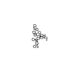 CC1(C)c2ccc(N(c3ccccc3)c3ccc4sc5ccccc5c4c3)cc2-c2c1c1ccccc1c1c2oc2cccc(-c3cccc4c3sc3ccccc34)c21